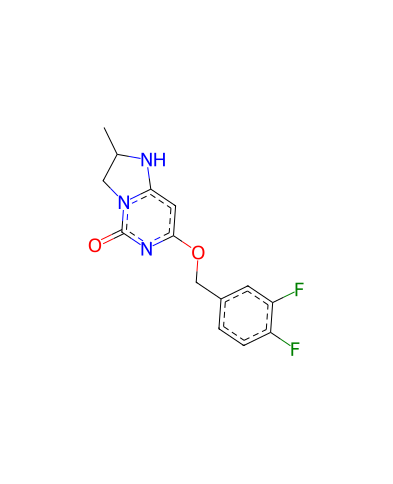 CC1Cn2c(cc(OCc3ccc(F)c(F)c3)nc2=O)N1